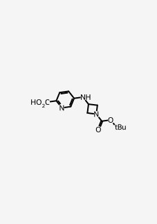 CC(C)(C)OC(=O)N1CC(Nc2ccc(C(=O)O)nc2)C1